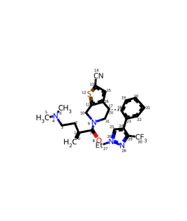 C=C(CCN(C)C)C(=O)N1Cc2sc(C#N)cc2[C@H](c2ccccc2-c2cn(CC)nc2C(F)(F)F)C1